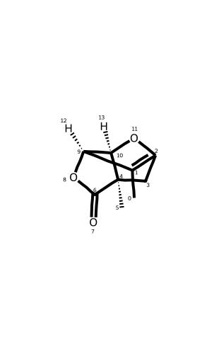 CC1=C2C[C@@]3(C)C(=O)O[C@H]1[C@H]3O2